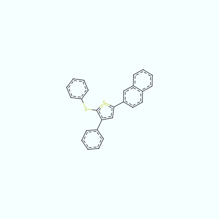 c1ccc(Sc2sc(-c3ccc4ccccc4c3)cc2-c2ccccc2)cc1